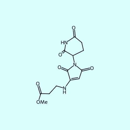 COC(=O)CCNC1=CC(=O)N(C2CCC(=O)NC2=O)C1=O